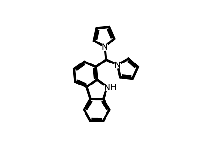 c1ccc2c(c1)[nH]c1c(C(n3cccc3)n3cccc3)cccc12